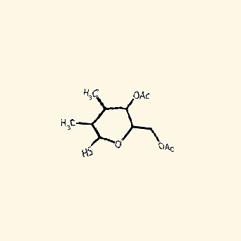 CC(=O)OCC1OC(S)C(C)C(C)C1OC(C)=O